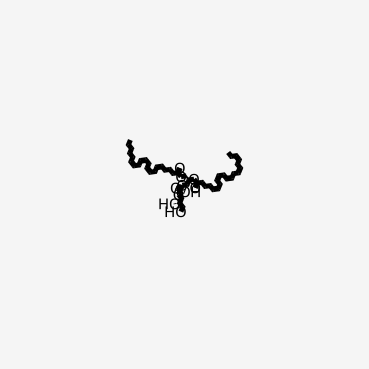 CC/C=C\C/C=C\C/C=C\C/C=C\C/C=C\CCCC(=O)O[C@H](COC(=O)CCC/C=C\C/C=C\C/C=C\C/C=C\CCCCC)COP(=O)(O)OC[C@@H](O)CO